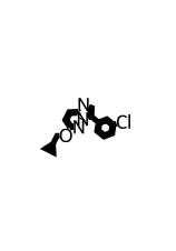 Clc1cccc(-c2cnc3ccc(OCC4CC4)nn23)c1